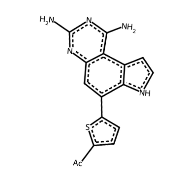 CC(=O)c1ccc(-c2cc3nc(N)nc(N)c3c3cc[nH]c23)s1